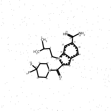 CC(C)CCn1c(C(=O)N2CCC(F)(F)CC2)cc2ccc(C(=N)N)cc21